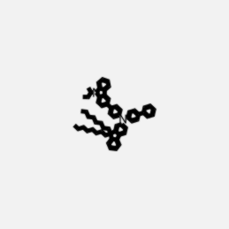 CCCCCCCCC1(CCCCCCCC)c2ccccc2-c2ccc(N(c3ccc(-c4ccccc4)cc3)c3ccc(-c4ccc5c(c4)c4ccccc4n5C(C)CC)cc3)cc21